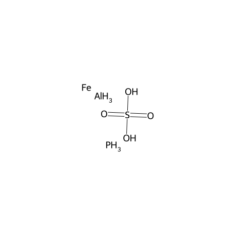 O=S(=O)(O)O.P.[AlH3].[Fe]